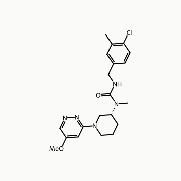 COc1cnnc(N2CCC[C@@H](N(C)C(=O)NCc3ccc(Cl)c(C)c3)C2)c1